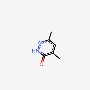 Cc1[c]c(C)c(=O)[nH]n1